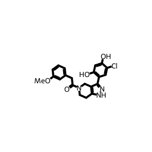 COc1cccc(CC(=O)N2CCc3[nH]nc(-c4cc(Cl)c(O)cc4O)c3C2)c1